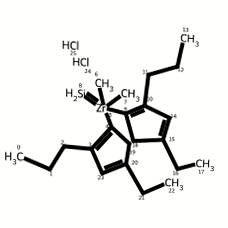 CCCC1=[C]([Zr]([CH3])([CH3])(=[SiH2])[C]2=C(CCC)C=C(CC)C2)CC(CC)=C1.Cl.Cl